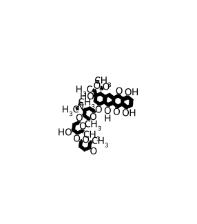 CC[C@]1(O)CC(OC2CC(N(C)C)C(OC3CC(O)C(OC4CCC(=O)C(C)O4)C(C)O3)C(C)O2)c2c(cc3c(c2O)C(=O)c2c(O)ccc(O)c2C3=O)[C@H]1C(=O)OC